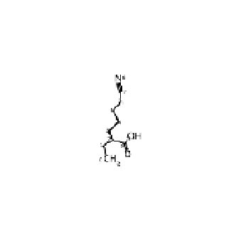 CCC([CH]CCCC#N)C(=O)O